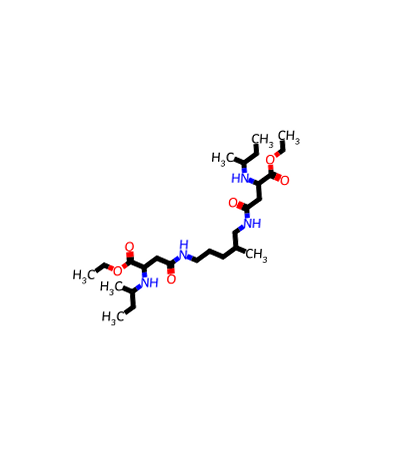 CCOC(=O)C(CC(=O)NCCCC(C)CNC(=O)CC(NC(C)CC)C(=O)OCC)NC(C)CC